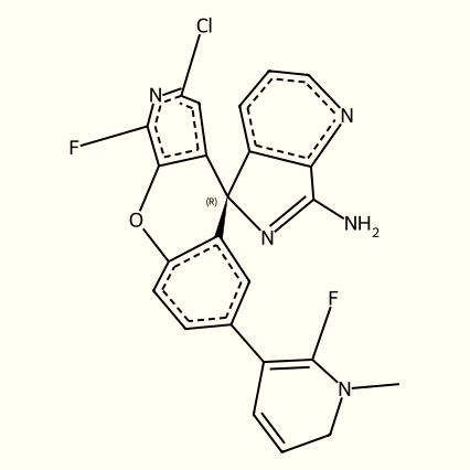 CN1CC=CC(c2ccc3c(c2)[C@@]2(N=C(N)c4ncccc42)c2cc(Cl)nc(F)c2O3)=C1F